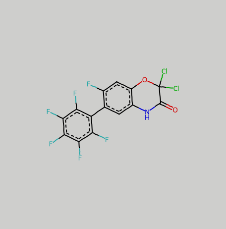 O=C1Nc2cc(-c3c(F)c(F)c(F)c(F)c3F)c(F)cc2OC1(Cl)Cl